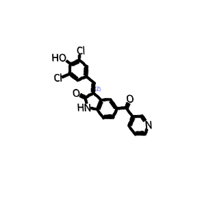 O=C1Nc2ccc(C(=O)c3cccnc3)cc2/C1=C/c1cc(Cl)c(O)c(Cl)c1